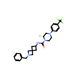 C[C@@H]1CN(c2ccc(C(F)(F)F)cc2)CCN1C(=O)NC1CC2(C1)CN(Cc1ccccc1)C2